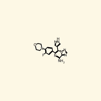 Nc1nc(-c2ccc(N3CCOCC3)c(F)c2)c(-c2cn[nH]c2)n2ncnc12